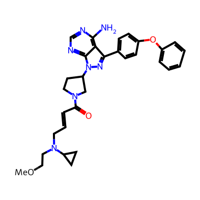 COCCN(C/C=C/C(=O)N1CCC(n2nc(-c3ccc(Oc4ccccc4)cc3)c3c(N)ncnc32)C1)C1CC1